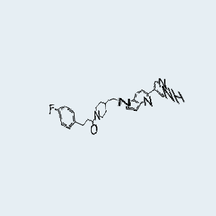 O=C(CCc1ccc(F)cc1)N1CCC(Cn2ccc3nc(-c4cn[nH]c4)ccc32)CC1